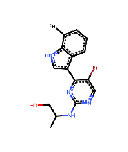 [2H]c1cccc2c(-c3nc(NC(C)CO)ncc3Br)c[nH]c12